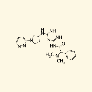 CN(C)C(C(=O)NC(=N)SC(=N)NC1CCN(c2cccnn2)C1)c1ccccc1